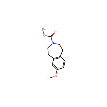 CCOc1ccc2c(c1)CCN(C(=O)OC(C)(C)C)CC2